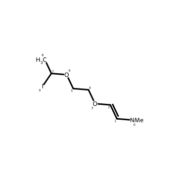 CN/C=C/OCCOC(C)I